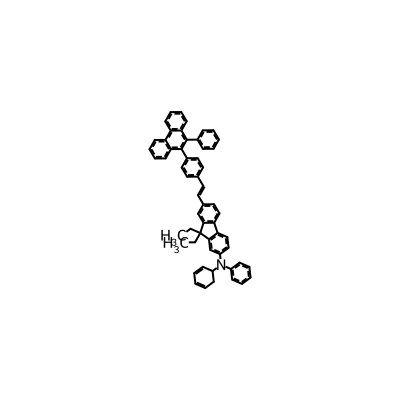 CCC1(CC)c2cc(/C=C/c3ccc(-c4c(-c5ccccc5)c5ccccc5c5ccccc45)cc3)ccc2-c2ccc(N(c3ccccc3)C3C=CC=CC3)cc21